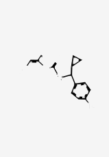 C/C=C(/C)OC(=O)NC(c1ccc(Br)cc1)C1CC1